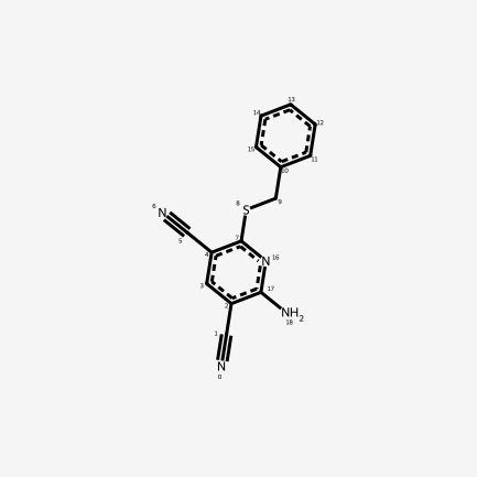 N#Cc1cc(C#N)c(SCc2ccccc2)nc1N